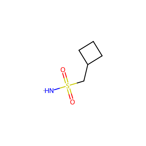 [NH]S(=O)(=O)CC1CCC1